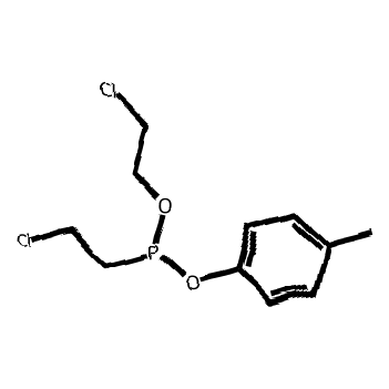 Cc1ccc(OP(CCCl)OCCCl)cc1